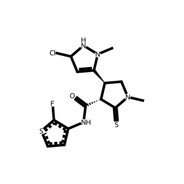 CN1C[C@H](C2=CC(Cl)NN2C)[C@@H](C(=O)Nc2ccsc2F)C1=S